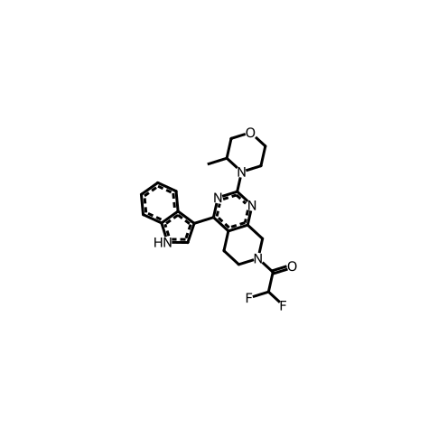 CC1COCCN1c1nc2c(c(-c3c[nH]c4ccccc34)n1)CCN(C(=O)C(F)F)C2